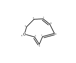 C1=C\CCO/C=C/C=C/1